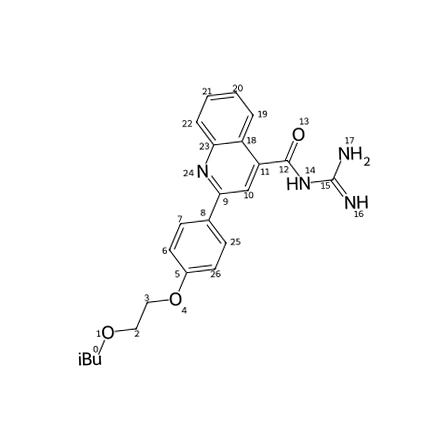 CCC(C)OCCOc1ccc(-c2cc(C(=O)NC(=N)N)c3ccccc3n2)cc1